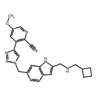 COc1cnc(C#N)c(-c2cn(Cc3ccc4cc(CNCC5CCC5)[nH]c4c3)nn2)c1